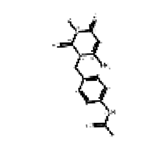 CC(=O)Nc1ccc(Cn2c(N)cc(=O)n(C)c2=O)cc1